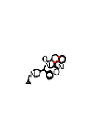 Cn1c(=O)c(CN(CC(c2ccccc2)C2CCN(CC3CC3)CC2)C(=O)C2CCCCC2)cc2ccccc21